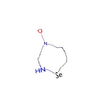 [O]N1CC[Se]NC1